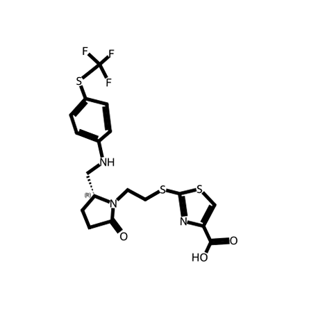 O=C(O)c1csc(SCCN2C(=O)CC[C@@H]2CNc2ccc(SC(F)(F)F)cc2)n1